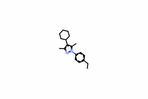 [CH2]Cc1ccc(-n2nc(C)c(C3CCCCC3)c2C)cc1